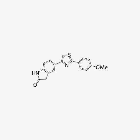 COc1ccc(-c2nc(-c3ccc4c(c3)CC(=O)N4)cs2)cc1